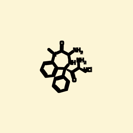 C[C@H](N)C(=O)[C@@]1(c2ccccc2)NC(N)C(=O)N(C)c2ccccc21.Cl